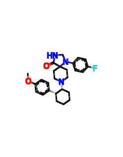 COc1ccc([C@H]2CCCC[C@H]2N2CCC3(CC2)C(=O)NCN3c2ccc(F)cc2)cc1